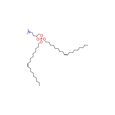 CCCCCCCC/C=C\CCCCCCCCOC1(OCCCCCCCC/C=C\CCCCCCCC)OCC(CCN(C)C)O1